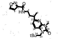 CC(CCNC(=O)c1ccon1)c1ccc2c(n1)n(C)c(=O)n2CC(C)(C)C